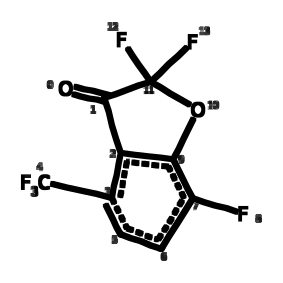 O=C1c2c(C(F)(F)F)ccc(F)c2OC1(F)F